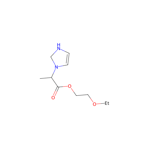 CCOCCOC(=O)C(C)N1C=CNC1